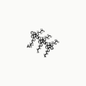 CCCCOCC(=O)C(C)(OCCCC)C(=O)[O-].CCCCOCC(=O)C(C)(OCCCC)C(=O)[O-].CCCCOCC(=O)C(C)(OCCCC)C(=O)[O-].[Al+3]